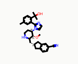 CO[C@@H]1C(C[C@H]2Cc3ccc(C#N)cc3C2)NCC[C@H]1n1ccnc1-c1cc(C)ccc1C(C)(C)O